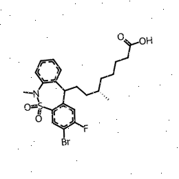 C[C@@H](CCCCC(=O)O)CCC1c2ccccc2N(C)S(=O)(=O)c2cc(Br)c(F)cc21